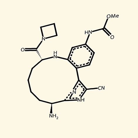 COC(=O)Nc1ccc2c(c1)N[C@@H](C(=O)N1CCC1)CCCC[C@H](N)c1nc-2c(C#N)[nH]1